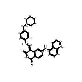 O=C1NC(=O)c2ccc(Nc3cccc4ncccc34)cc2C1=CNc1ccc(CN2CCCCC2)cc1